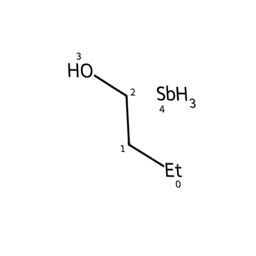 CCCCO.[SbH3]